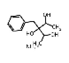 CC(O)C(O)(Cc1ccccc1)C(C)O.N